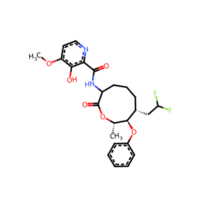 COc1ccnc(C(=O)NC2CCC[C@H](CC(F)F)[C@@H](Oc3ccccc3)[C@H](C)OC2=O)c1O